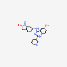 COc1ccc2nc(-c3cccnc3)nc(Nc3ccc4c(c3)NC(=O)C4)c2c1